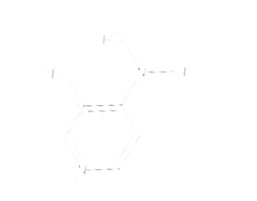 CN(C)c1ccncc1C=O